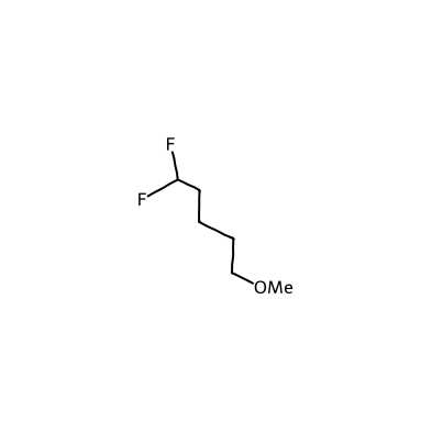 COCCCCC(F)F